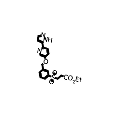 CCOC(=O)CCS(=O)(=O)c1cccc(COc2ccc(-c3ccn[nH]3)nc2)c1